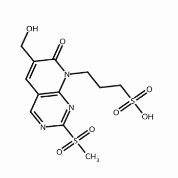 CS(=O)(=O)c1ncc2cc(CO)c(=O)n(CCCS(=O)(=O)O)c2n1